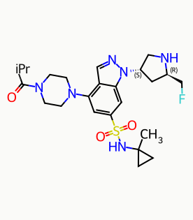 CC(C)C(=O)N1CCN(c2cc(S(=O)(=O)NC3(C)CC3)cc3c2cnn3[C@@H]2CN[C@@H](CF)C2)CC1